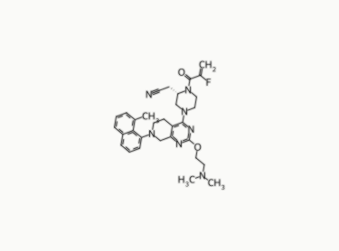 C=C(F)C(=O)N1CCN(c2nc(OCCN(C)C)nc3c2CCN(c2cccc4cccc(C)c24)C3)C[C@@H]1CC#N